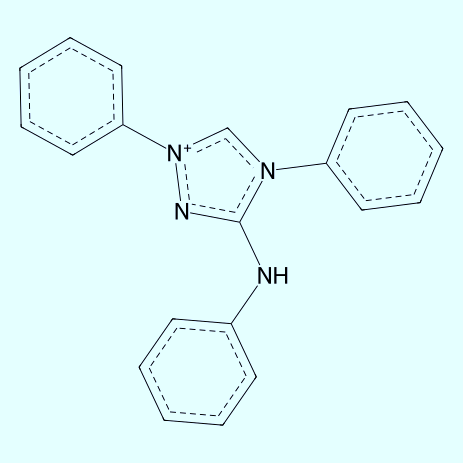 c1ccc(Nc2n[n+](-c3ccccc3)cn2-c2ccccc2)cc1